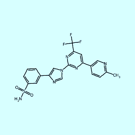 Cc1ccc(-c2cc(C(F)(F)F)nc(-n3cnc(-c4cccc(S(N)(=O)=O)c4)c3)n2)cn1